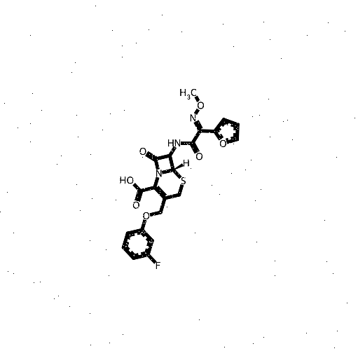 CON=C(C(=O)NC1C(=O)N2C(C(=O)O)=C(COc3cccc(F)c3)CS[C@@H]12)c1ccco1